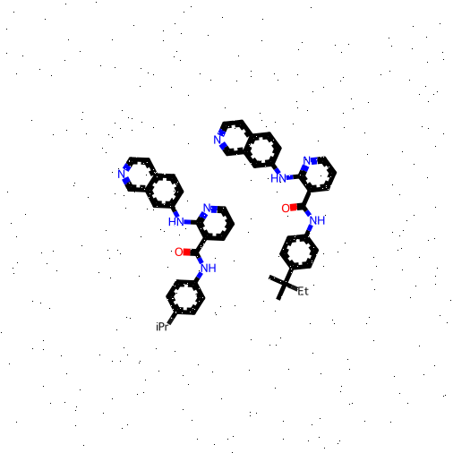 CC(C)c1ccc(NC(=O)c2cccnc2Nc2ccc3ccncc3c2)cc1.CCC(C)(C)c1ccc(NC(=O)c2cccnc2Nc2ccc3ccncc3c2)cc1